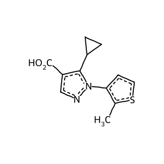 Cc1sccc1-n1ncc(C(=O)O)c1C1CC1